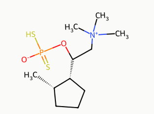 C[C@H]1CCC[C@H]1C(C[N+](C)(C)C)OP([O-])(=S)S